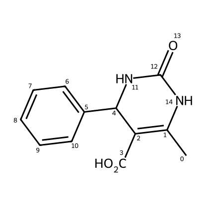 CC1=C(C(=O)O)C(c2ccccc2)NC(=O)N1